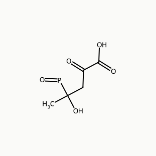 CC(O)(CC(=O)C(=O)O)P=O